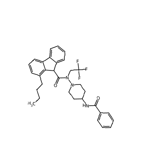 CCCCc1cccc2c1C(C(=O)N(CC(F)(F)F)N1CCC(NC(=O)c3ccccc3)CC1)c1ccccc1-2